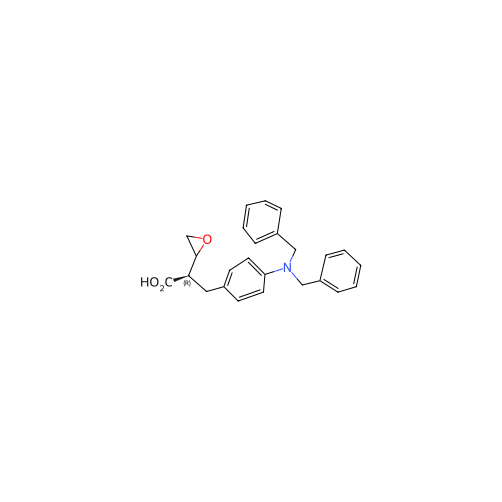 O=C(O)[C@H](Cc1ccc(N(Cc2ccccc2)Cc2ccccc2)cc1)C1CO1